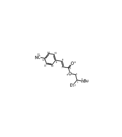 CCCCC(CC)COC(=O)/C=C/c1ccc(C#N)cc1